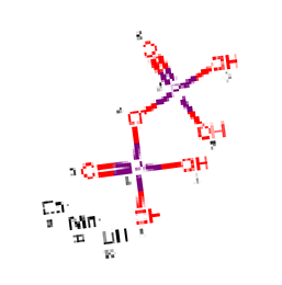 O=P(O)(O)OP(=O)(O)O.[Co].[LiH].[Mn]